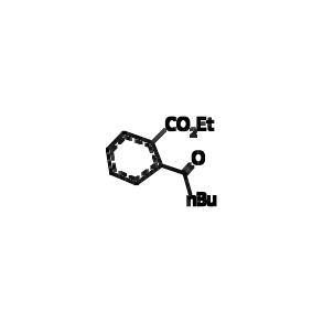 CCCCC(=O)c1ccccc1C(=O)OCC